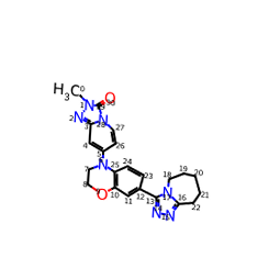 Cn1nc2cc(N3CCOc4cc(-c5nnc6n5CCCCC6)ccc43)ccn2c1=O